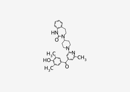 Cc1cc(C(=O)c2cc(C)c(O)c(C)c2)cc(N2CCC(N3CCc4ccccc4NC3=O)CC2)n1